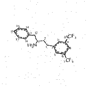 NC(CCc1cc(C(F)(F)F)cc(C(F)(F)F)c1)Cc1ccccc1